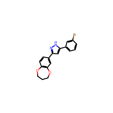 Brc1cccc(-c2cc(-c3ccc4c(c3)OCCCO4)n[nH]2)c1